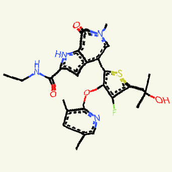 CCNC(=O)c1cc2c(-c3sc(C(C)(C)O)c(F)c3Oc3ncc(C)cc3C)cn(C)c(=O)c2[nH]1